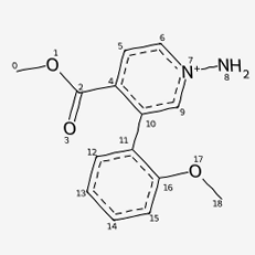 COC(=O)c1cc[n+](N)cc1-c1ccccc1OC